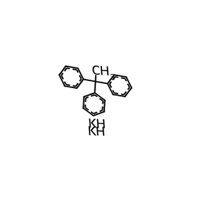 CC(c1ccccc1)(c1ccccc1)c1ccccc1.[KH].[KH]